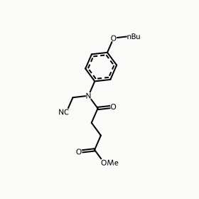 CCCCOc1ccc(N(CC#N)C(=O)CCC(=O)OC)cc1